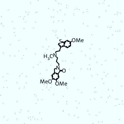 COc1ccc2c(CCN(C)CCCN3Cc4cc(OC)c(OC)cc4C3=O)csc2c1